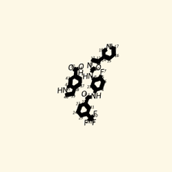 O=C(Nc1ccc(F)c(Nc2ncc(-c3cccnc3)o2)c1)c1cccc(C(F)(F)F)c1.O=C(O)c1ccc2cc[nH]c2c1